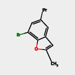 Cc1cc2cc(C(C)C)cc(Br)c2o1